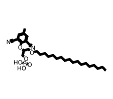 CCCCCCCCCCCCCCCCCCOCC(COP(=O)(O)O)Oc1c(C#N)cc(C)cc1C#N